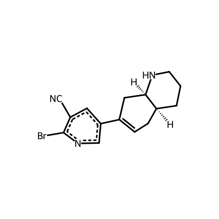 N#Cc1cc(C2=CC[C@@H]3CCCN[C@@H]3C2)cnc1Br